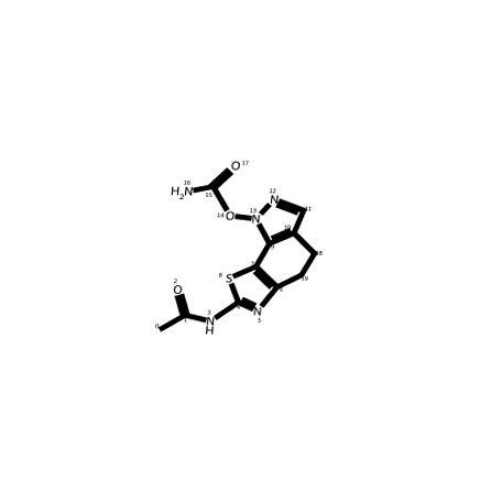 CC(=O)Nc1nc2c(s1)-c1c(cnn1OC(N)=O)CC2